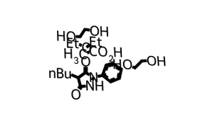 CC(=O)O.CCCCC1C(=O)NN(c2ccccc2)C1=O.CCOCC.OCCO.OCCO